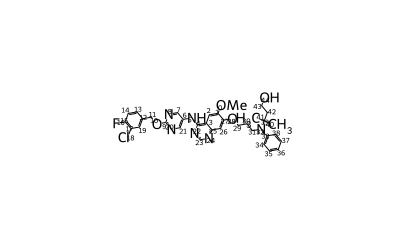 COc1cc2c(Nc3cnc(OCc4ccc(F)c(Cl)c4)nc3)ncnc2cc1OCCCN(c1ccccc1)C(C)(C)CCO